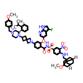 COc1ccc(CN2CCN(C3CC4(C3)CN(c3ccc(C(=O)NS(=O)(=O)c5ccc(NCC67C[C@H]8C[C@@H](C6)CC(OC)(C8)C7)c([N+](=O)[O-])c5)c(Oc5cnc6[nH]cc(F)c6c5)c3)C4)[C@H](c3ccccc3C(C)C)C2)cc1